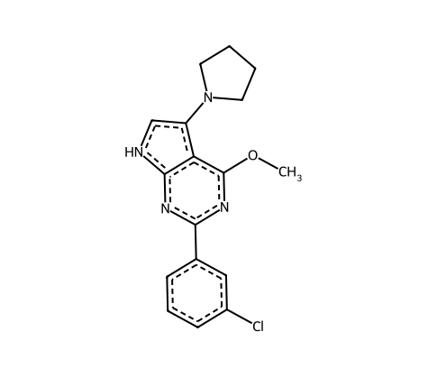 COc1nc(-c2cccc(Cl)c2)nc2[nH]cc(N3CCCC3)c12